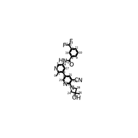 Cc1ncc(NC(=O)c2cccc(C(F)F)c2)cc1-c1cnc(N2CC(C)(O)C2)c(C#N)c1